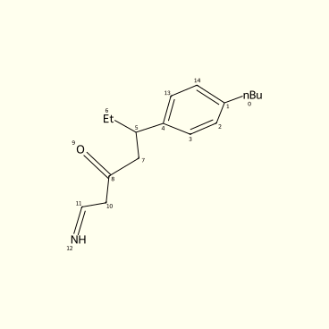 CCCCc1ccc(C(CC)CC(=O)CC=N)cc1